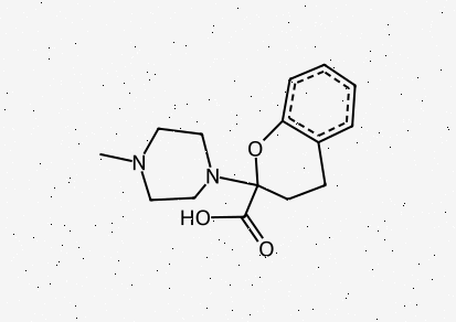 CN1CCN(C2(C(=O)O)CCc3ccccc3O2)CC1